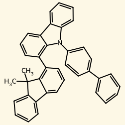 CC1(C)c2ccccc2-c2cccc(-c3cccc4c5ccccc5n(-c5ccc(-c6ccccc6)cc5)c34)c21